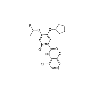 O=C(Nc1c(Cl)cncc1Cl)c1cc(OC2CCCC2)c(OC(F)F)c[n+]1[O-]